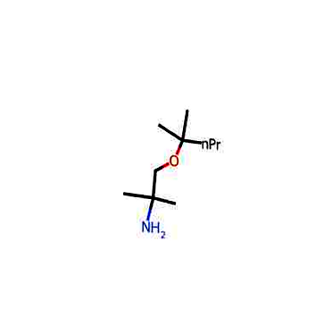 CCCC(C)(C)OCC(C)(C)N